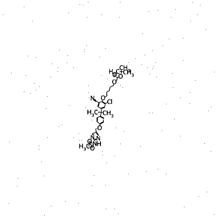 CC(C)(C)OC(=O)COCCCCCOc1c(Cl)cc(C(C)(C)c2ccc(OCc3cnc(NS(C)(=O)=O)nc3)cc2)cc1C#N